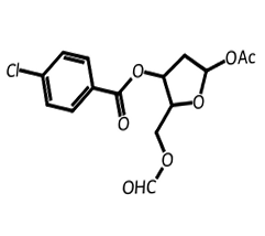 CC(=O)OC1CC(OC(=O)c2ccc(Cl)cc2)C(COC=O)O1